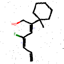 C=C/C=C(F)\C=C(/CO)C1(C)CCCCC1